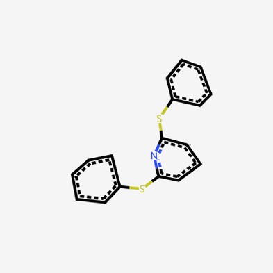 [c]1ccc(Sc2ccccc2)nc1Sc1ccccc1